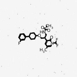 Cc1cc(C(CNS(C)(=O)=O)COC2CCC(c3cccc(F)c3)CC2)c(=O)n(C(F)F)c1